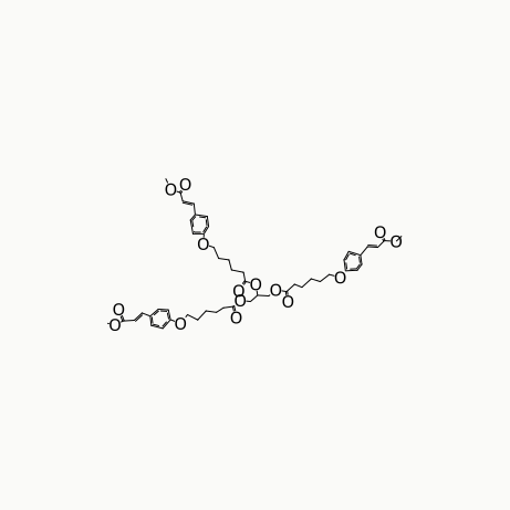 COC(=O)/C=C/c1ccc(OCCCCCC(=O)OCC(COC(=O)CCCCCOc2ccc(/C=C/C(=O)OC)cc2)OC(=O)CCCCCOc2ccc(/C=C/C(=O)OC)cc2)cc1